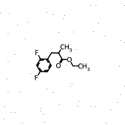 CCOC(=O)C(C)Cc1ccc(F)cc1F